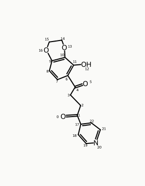 O=C(CCC(=O)c1ccc2c(c1O)OCCO2)c1ccncc1